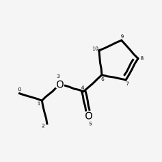 CC(C)OC(=O)C1C=CCC1